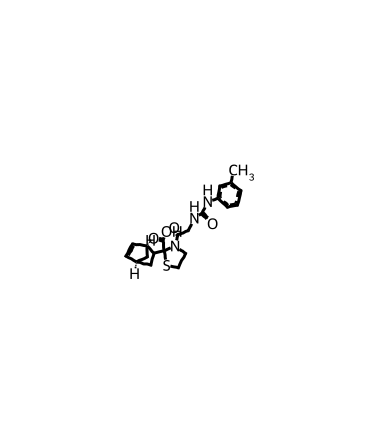 Cc1cccc(NC(=O)NCC(=O)N2CCSC2(C(=O)O)C2C[C@H]3C=C[C@@H]2C3)c1